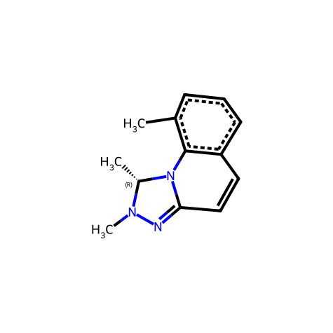 Cc1cccc2c1N1C(=NN(C)[C@@H]1C)C=C2